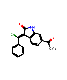 COC(=O)c1ccc2c(c1)NC(=O)/C2=C(\Cl)c1ccccc1